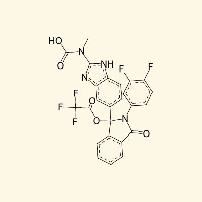 CN(C(=O)O)c1nc2cc(C3(OC(=O)C(F)(F)F)c4ccccc4C(=O)N3c3ccc(F)c(F)c3)ccc2[nH]1